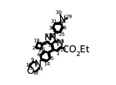 CCOC(=O)c1cc(-c2ccc(N3CCOCC3)cc2)c2c(C3CCC3)nn(-c3ccc(N(C)C)cc3)c2n1